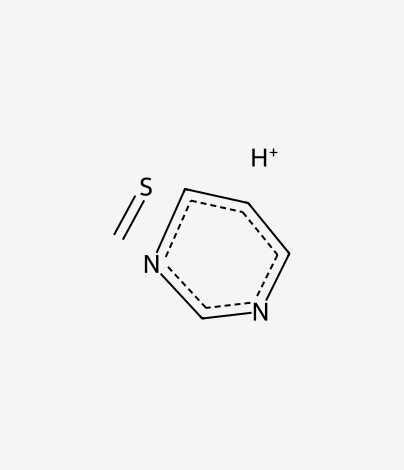 C=S.[H+].c1cncnc1